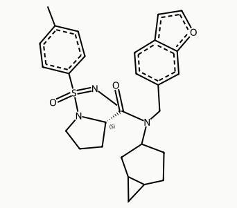 CN=S(=O)(c1ccc(C)cc1)N1CCC[C@H]1C(=O)N(Cc1ccc2ccoc2c1)C1CCC2CC2C1